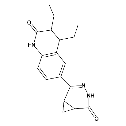 CCC1C(=O)Nc2ccc(C3=NNC(=O)C4CC34)cc2C1CC